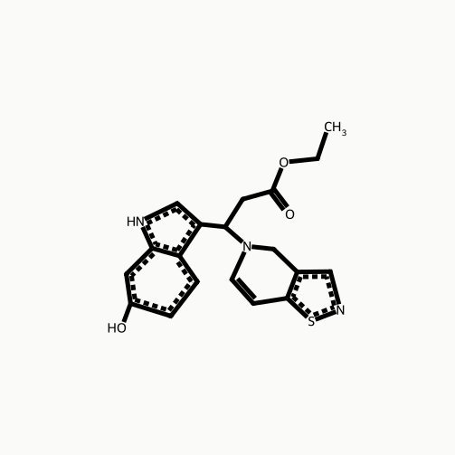 CCOC(=O)CC(c1c[nH]c2cc(O)ccc12)N1C=Cc2sncc2C1